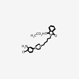 CC(=O)O.Nc1cc(N2CCN(CCCCCN3C(=O)c4ccccc4C3=O)CC2)ccc1Cl